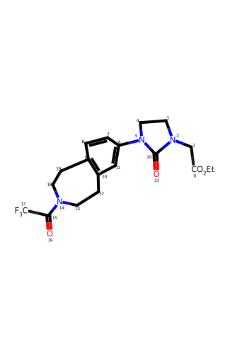 CCOC(=O)CN1CCN(c2ccc3c(c2)CCN(C(=O)C(F)(F)F)CC3)C1=O